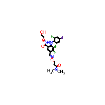 CN(C)C(=O)CCO/N=C/c1cc(C(=O)NOCCO)c(Nc2ccc(I)cc2F)c(F)c1F